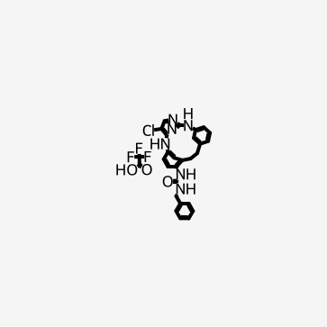 O=C(NCc1ccccc1)Nc1ccc2cc1CCc1cccc(c1)Nc1ncc(Cl)c(n1)N2.O=C(O)C(F)(F)F